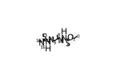 CCOC(=S)N/N=C(C)/C=N/NC(=S)N(C)C